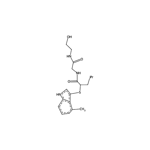 Cc1cccc2[nH]cc(SC(CC(C)C)C(=O)NCC(=O)NCCO)c12